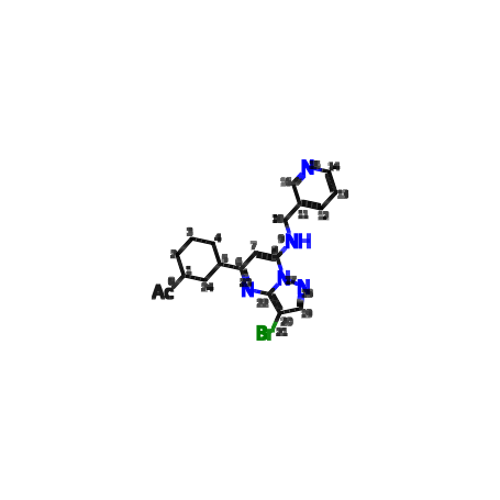 CC(=O)C1CCCC(c2cc(NCc3cccnc3)n3ncc(Br)c3n2)C1